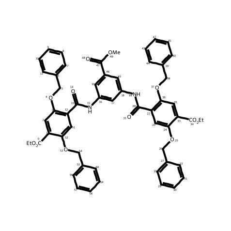 CCOC(=O)c1cc(OCc2ccccc2)c(C(=O)Nc2cc(NC(=O)c3cc(OCc4ccccc4)c(C(=O)OCC)cc3OCc3ccccc3)cc(C(=O)OC)c2)cc1OCc1ccccc1